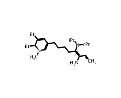 C=C/C(N)=C(/CCCCC1=CN(C)C(CC)C(CC)=C1)N(CCC)C(C)C